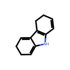 C1=Cc2[nH]c3c(c2CC1)=CCCC=3